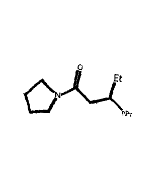 CCCC(CC)CC(=O)N1CCCC1